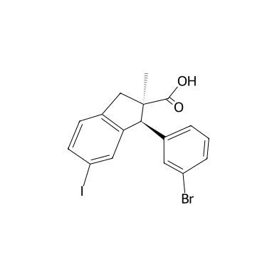 C[C@@]1(C(=O)O)Cc2ccc(I)cc2[C@@H]1c1cccc(Br)c1